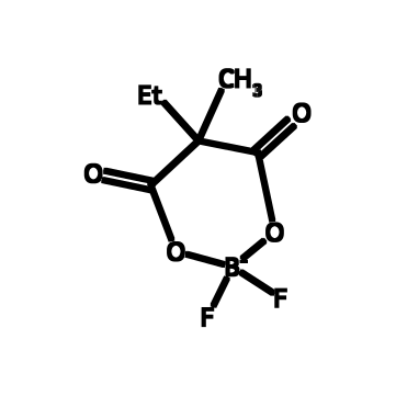 CCC1(C)C(=O)O[B-](F)(F)OC1=O